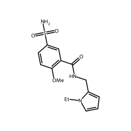 CCn1cccc1CNC(=O)c1cc(S(N)(=O)=O)ccc1OC